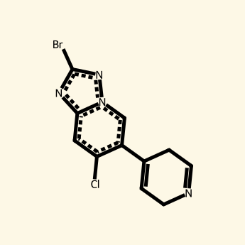 Clc1cc2nc(Br)nn2cc1C1=CCN=CC1